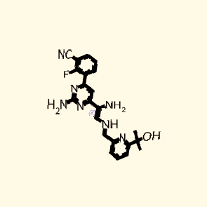 CC(C)(O)c1cccc(CN/C=C(\N)c2cc(-c3cccc(C#N)c3F)nc(N)n2)n1